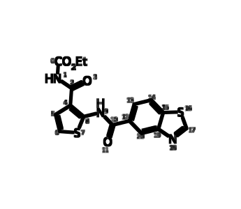 CCOC(=O)NC(=O)c1ccsc1NC(=O)c1ccc2scnc2c1